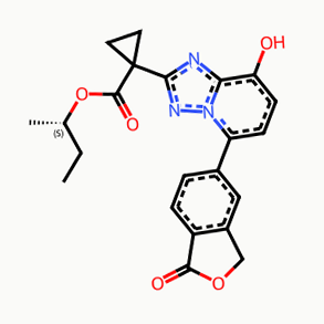 CC[C@H](C)OC(=O)C1(c2nc3c(O)ccc(-c4ccc5c(c4)COC5=O)n3n2)CC1